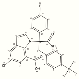 CC(C)(C)c1ccc(CC(C(N)=O)(c2ccc(F)cc2)n2ccc3cc(Cl)nc(C(=O)O)c32)cc1